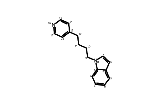 [c]1ccc2c(c1)ccn2CCCCc1ccncc1